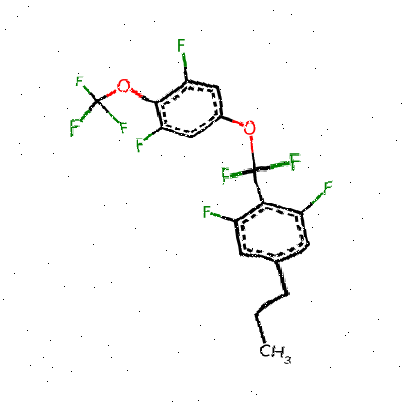 CCCc1cc(F)c(C(F)(F)Oc2cc(F)c(OC(F)(F)F)c(F)c2)c(F)c1